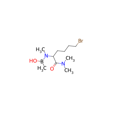 CB(O)N(C)C(CCCCBr)C(=O)N(C)C